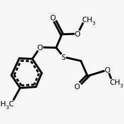 COC(=O)CSC(Oc1ccc(C)cc1)C(=O)OC